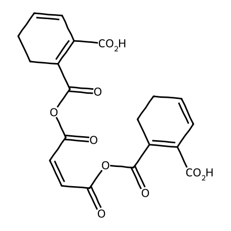 O=C(/C=C\C(=O)OC(=O)C1=C(C(=O)O)C=CCC1)OC(=O)C1=C(C(=O)O)C=CCC1